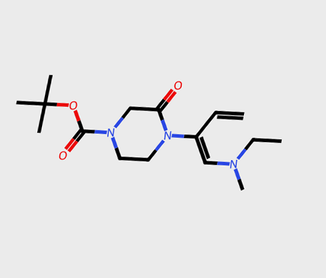 C=C/C(=C\N(C)CC)N1CCN(C(=O)OC(C)(C)C)CC1=O